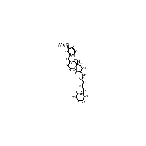 COc1cccc(CN2CCN3C[C@H](COCCCN4CCCCC4)CC[C@H]3C2)c1